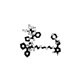 CN[C@@](C)(O)C(=O)N[C@H](C(=O)N1CCC[C@H]1C(=O)NC(O)(C(=O)NCCOCCOCCOc1c(-c2csc(N3CCOCC3)n2)ccc(F)c1F)C(c1ccccc1)c1ccccc1)C1CCCCC1